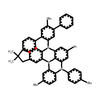 CC(C)c1cc2c3c(c1)N(c1cc(-c4ccccc4)c(C(C)(C)C)cc1-c1ccccc1)c1cc4c(cc1B3c1cc(C(C)(C)C)ccc1N2c1ccc(C(C)(C)C)cc1)CC(C)(C)C4